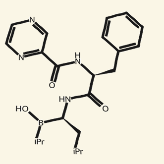 CC(C)C[C@H](NC(=O)[C@H](Cc1ccccc1)NC(=O)c1cnccn1)B(O)C(C)C